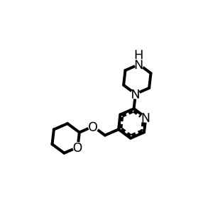 c1cc(COC2CCCCO2)cc(N2CCNCC2)n1